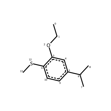 CCOc1cc([C](C)C)ccc1SC